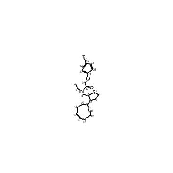 CCN(CC1SCCC1C1CCCCCCC1)C(=O)COc1ccc(F)cc1